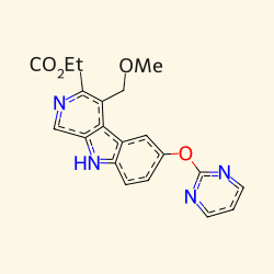 CCOC(=O)c1ncc2[nH]c3ccc(Oc4ncccn4)cc3c2c1COC